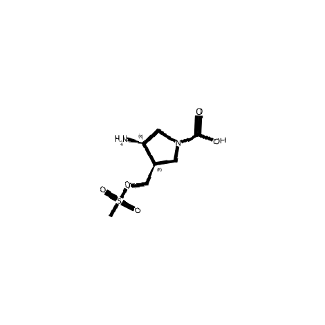 CS(=O)(=O)OC[C@@H]1CN(C(=O)O)C[C@@H]1N